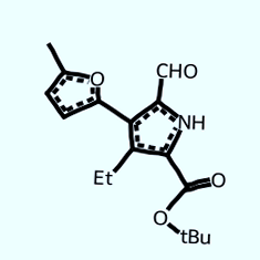 CCc1c(C(=O)OC(C)(C)C)[nH]c(C=O)c1-c1ccc(C)o1